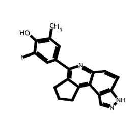 Cc1cc(-c2nc3ccc4[nH]ncc4c3c3c2CCC3)cc(I)c1O